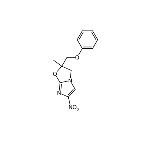 CC1(COc2ccccc2)Cn2cc([N+](=O)[O-])nc2O1